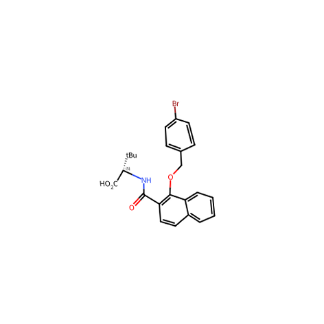 CC(C)(C)[C@H](NC(=O)c1ccc2ccccc2c1OCc1ccc(Br)cc1)C(=O)O